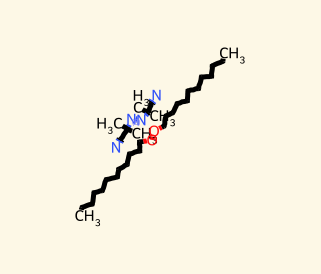 CC(C)(C#N)/N=N/C(C)(C)C#N.CCCCCCCCCCCCOOCCCCCCCCCCCC